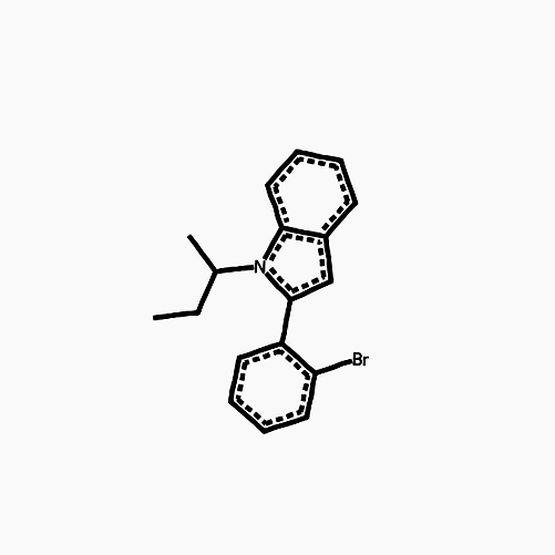 CCC(C)n1c(-c2ccccc2Br)cc2ccccc21